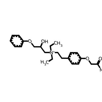 CC[N+](CC)(CCc1ccc(OCC(N)=O)cc1)CC(O)COc1ccccc1